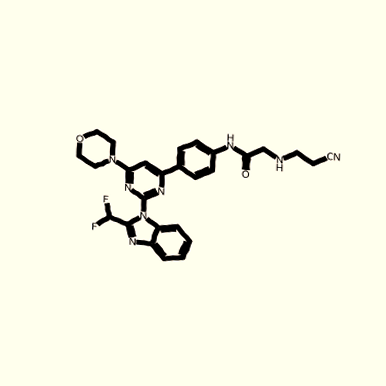 N#CCCNCC(=O)Nc1ccc(-c2cc(N3CCOCC3)nc(-n3c(C(F)F)nc4ccccc43)n2)cc1